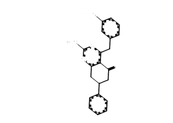 Nc1nc(Cc2cccc([N+](=O)[O-])c2)c2c(n1)CC(c1ccccc1)CC2=O